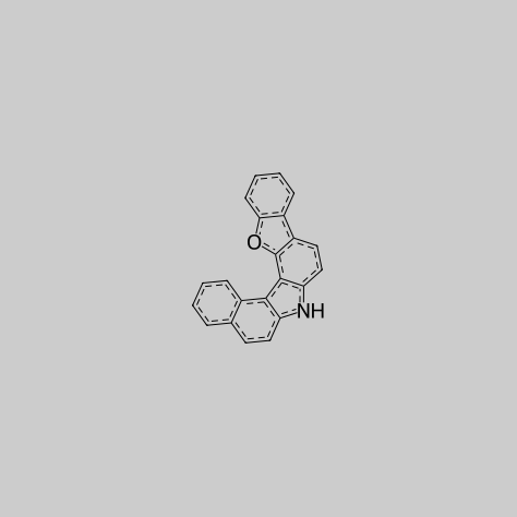 c1ccc2c(c1)ccc1[nH]c3ccc4c5ccccc5oc4c3c12